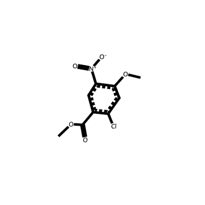 COC(=O)c1cc([N+](=O)[O-])c(OC)cc1Cl